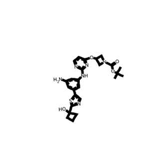 CC(C)(C)OC(=O)N1CC(Oc2ccnc(Nc3cc(N)cc(-c4cnc(C5(O)CCC5)s4)c3)n2)C1